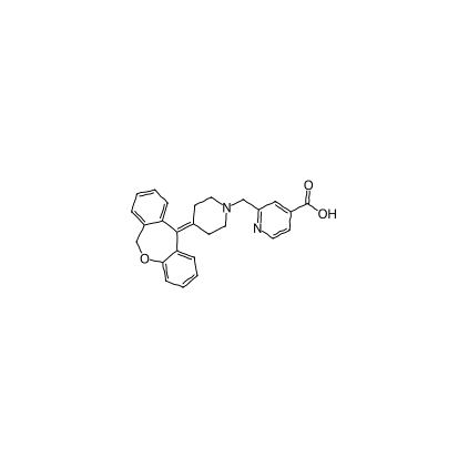 O=C(O)c1ccnc(CN2CCC(=C3c4ccccc4COc4ccccc43)CC2)c1